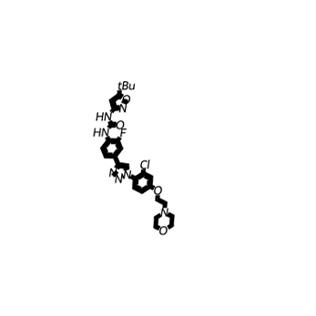 CC(C)(C)c1cc(NC(=O)Nc2ccc(-c3cn(-c4ccc(OCCN5CCOCC5)cc4Cl)nn3)cc2F)no1